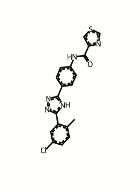 Cc1ccc(Cl)cc1-c1nnc(-c2ccc(NC(=O)c3cscn3)cc2)[nH]1